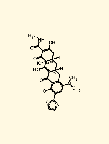 CNC(=O)C1=C(O)C[C@@H]2C[C@@H]3Cc4c(N(C)C)cc(-c5ncco5)c(O)c4C(=O)C3=C(O)[C@]2(O)C1=O